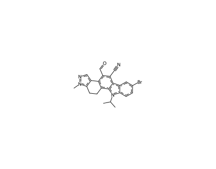 CC(C)n1c2ccc(Br)cc2c2c(C#N)c(C=O)c3c(c21)CCc1c-3cnn1C